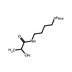 CCCCCCCCCNC(=O)C(C)O